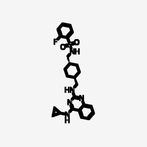 O=S(=O)(NC[C@H]1CC[C@H](CNc2nc(NC3CC3)c3ccccc3n2)CC1)c1ccccc1F